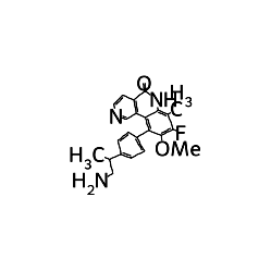 COc1c(F)c(C)c2[nH]c(=O)c3ccncc3c2c1-c1ccc(C(C)CN)cc1